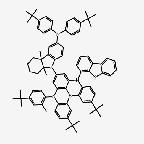 Cc1cc(C(C)(C)C)ccc1N1c2ccc(C(C)(C)C)cc2B2c3cc(C(C)(C)C)ccc3N(c3cccc4c3sc3ccccc34)c3cc(N4c5ccc(N(c6ccc(C(C)(C)C)cc6)c6ccc(C(C)(C)C)cc6)cc5C5(C)CCCCC45C)cc1c32